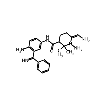 CC1(C)C(C(=O)Nc2ccc(N)c(C(=N)c3ccccc3)c2)CC/C(=C/N)N1N